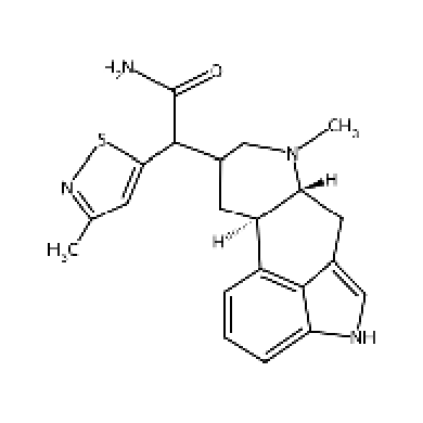 Cc1cc(C(C(N)=O)C2C[C@@H]3c4cccc5[nH]cc(c45)C[C@H]3N(C)C2)sn1